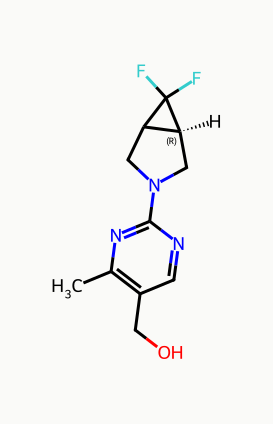 Cc1nc(N2CC3[C@H](C2)C3(F)F)ncc1CO